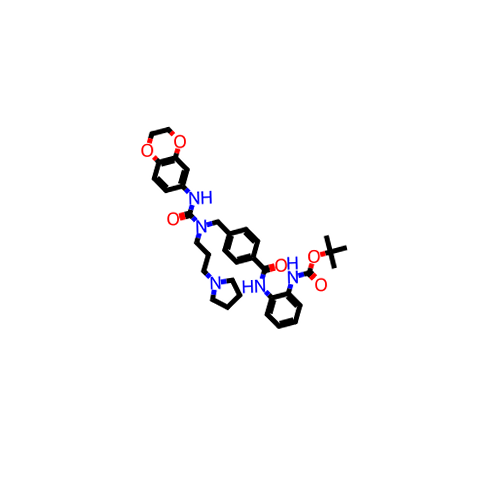 CC(C)(C)OC(=O)Nc1ccccc1NC(=O)c1ccc(CN(CCCN2CCCC2)C(=O)Nc2ccc3c(c2)OCCO3)cc1